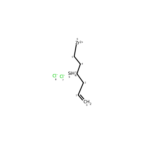 C=CCCC[CH2][Zr+2].[Cl-].[Cl-].[SiH4]